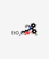 CCOC(=O)C[C@@H](O)C[C@@H](O)/C=C/c1c(-c2ccc(F)cc2)c2ccccc2n1C(C)C